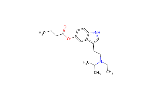 CCCC(=O)Oc1ccc2[nH]cc(CCN(CC)C(C)C)c2c1